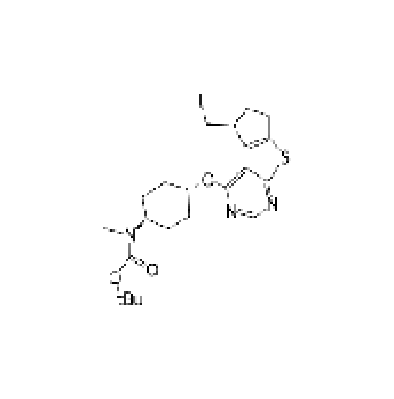 CN(C(=O)OC(C)(C)C)[C@H]1CC[C@H](Oc2ncnc3sc4c(c23)[C@@H](CI)CC4)CC1